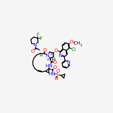 COc1ccc2c(O[C@@H]3C[C@H]4C(=O)N[C@]5(C(=O)NS(=O)(=O)C6CC6)CC5C=CCCCCC[C@H](CC(=O)N5CCCC(F)(F)C5)C(=O)N4C3)nc(-c3ccccn3)cc2c1Cl